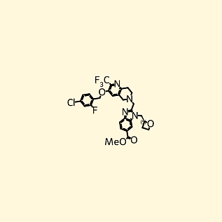 COC(=O)c1ccc2nc(CN3CCc4nc(C(F)(F)F)c(OCc5ccc(Cl)cc5F)cc4C3)n(C[C@@H]3CCO3)c2c1